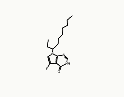 CCCCCCCC(CC)n1cc(F)c2c(=O)[nH]cnc21